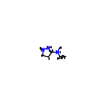 CCCN(C)C1=N[N]CC1